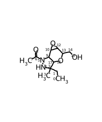 CCC1(C)NN(C(C)=O)C2C3OC3C(CO)OC21